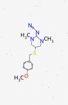 COc1ccc(CSC2CN(C)C(=NC#N)N(C)C2)cc1